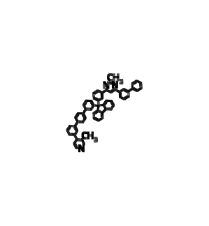 Cc1nc(-c2cccc(-c3ccccc3)c2)cc(-c2cccc(C3(c4cccc(-c5ccc(-c6cccc(-c7ccncc7C)c6)cc5)c4)c4ccccc4-c4ccccc43)c2)n1